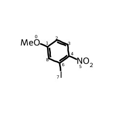 COc1ccc([N+](=O)[O-])c(I)c1